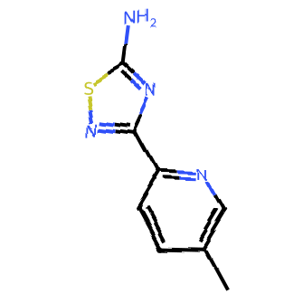 Cc1ccc(-c2nsc(N)n2)nc1